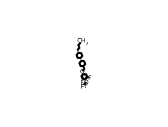 CCCCC[C@H]1CC[C@H](C2CCC(COc3ccc(OC(F)(F)F)c(F)c3)CC2)CC1